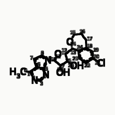 Cc1ncnc2c1ccn2[C@@H]1O[C@H]([C@@H]2OCCCc3cc(Cl)ccc32)[C@@H](O)[C@H]1O